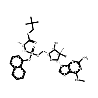 CNc1nc(N)nc2c1ncn2[C@@H]1O[C@H](COP(=S)(N[C@H](C)C(=O)OCC(C)(C)C)Oc2cccc3ccccc23)[C@@H](O)[C@@]1(C)F